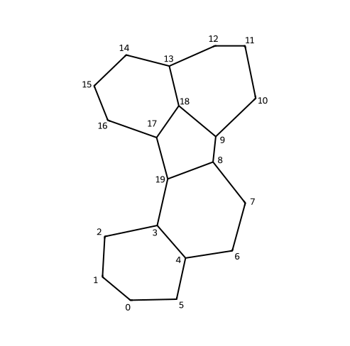 C1CCC2C(C1)CCC1C3CCCC4CCCC(C43)C21